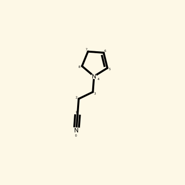 N#CCCN1C=CCC1